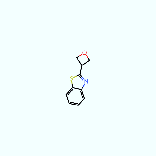 c1ccc2sc(C3COC3)nc2c1